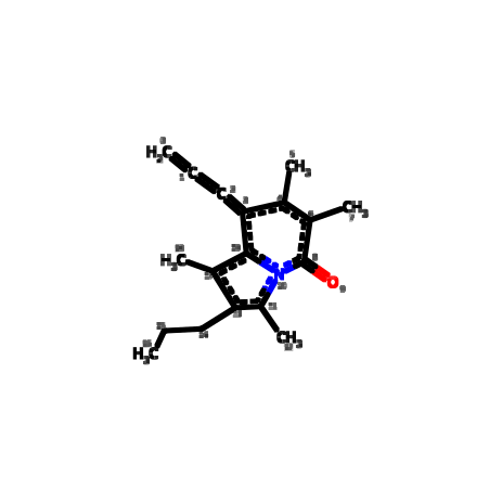 C=C=C=c1c(C)c(C)c(=O)n2c(C)c(CCC)c(C)c12